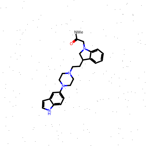 CNC(=O)CN1CC(CCN2CCN(c3ccc4[nH]ccc4c3)CC2)c2ccccc21